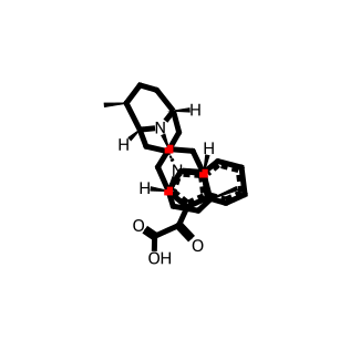 C[C@H]1CC[C@H]2C[C@@H]1C[C@H](N1[C@@H]3CC[C@H](C)[C@H]1C[C@@H](n1cc(C(=O)C(=O)O)c4ccccc41)C3)C2